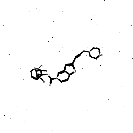 C[C@H]1[C@H](NC(=O)N2C=CC3OC(C#CCN4CCNCC4)=CC3=C2)C2CCN1CC2